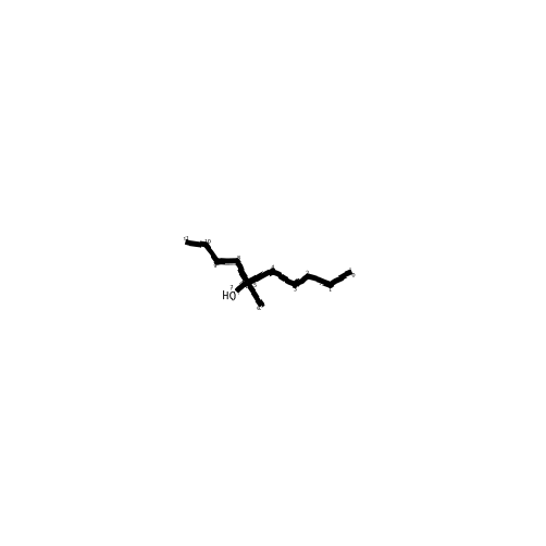 CCCCCC(C)(O)CCCC